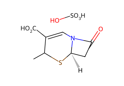 CC1S[C@@H]2CC(=O)N2C=C1C(=O)O.O=S(=O)(O)O